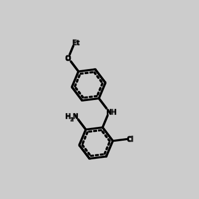 CCOc1ccc(Nc2c(N)cccc2Cl)cc1